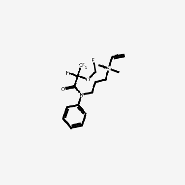 C=C[Si](C)(C)CCCN(C(=O)C(F)(OCF)C(F)(F)F)c1ccccc1